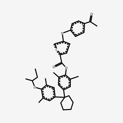 CCC(C)Oc1c(C)cc(C2(c3cc(C)c(OC(=O)c4ccc(Oc5ccc(C(C)=O)cc5)cc4)c(C)c3)CCCCC2)cc1C